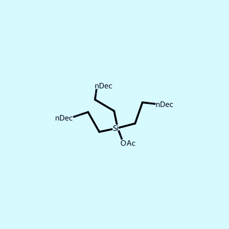 [CH2]C(=O)O[Si](CCCCCCCCCCCC)(CCCCCCCCCCCC)CCCCCCCCCCCC